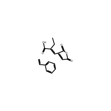 C=Cc1ccccc1.CCC(=CC1=CC(=O)OC1=O)C(=O)O